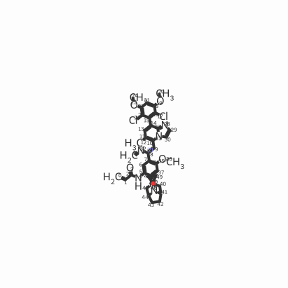 C=CC(=O)Nc1cc(/C(=C/c2c(C)cc(-c3c(Cl)c(OC)cc(OC)c3Cl)c3nccn23)N=C)c(OC)cc1N1CC2CCC(C1)N2C1CC1